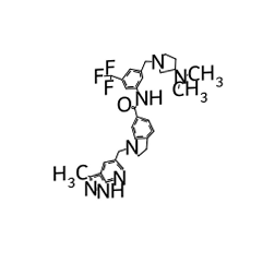 Cc1n[nH]c2ncc(CN3CCc4ccc(C(=O)Nc5cc(CN6CC[C@@H](N(C)C)C6)cc(C(F)(F)F)c5)cc43)cc12